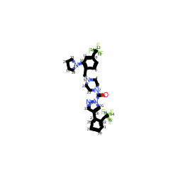 O=C(N1CCN(Cc2ccc(C(F)(F)F)cc2N2CCCC2)CC1)n1cc(-c2ccccc2C(F)(F)F)cn1